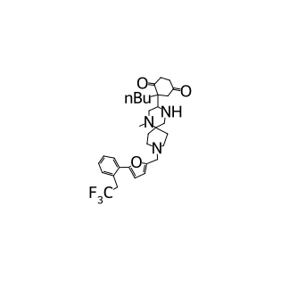 CCCCC1(C2CN(C)C3(CCN(Cc4ccc(-c5ccccc5CC(F)(F)F)o4)CC3)CN2)CC(=O)CCC1=O